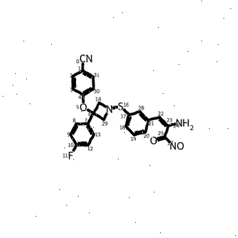 N#Cc1ccc(OC2(c3ccc(F)cc3)CN(Sc3cccc(/C=C(/N)C(=O)N=O)c3)C2)cc1